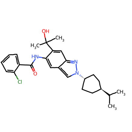 CC(C)[C@H]1CC[C@H](n2cc3cc(NC(=O)c4ccccc4Cl)c(C(C)(C)O)cc3n2)CC1